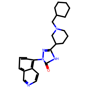 O=c1[nH]c(C2CCCN(CC3CCCCC3)C2)nn1-c1cccc2cnccc12